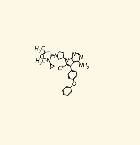 CC(=O)C[C@H](N1CCC(n2c(Cl)c(-c3ccc(Oc4ccccc4)cc3)c3c(N)ncnc32)C1)N(C)C1CC1